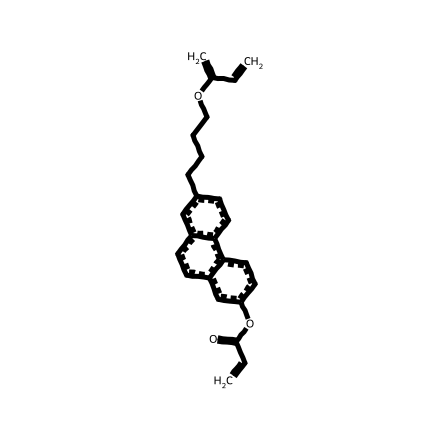 C=CC(=C)OCCCCc1ccc2c(ccc3cc(OC(=O)C=C)ccc32)c1